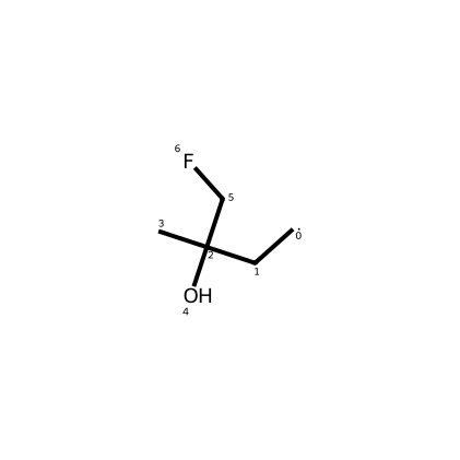 [CH2]CC(C)(O)CF